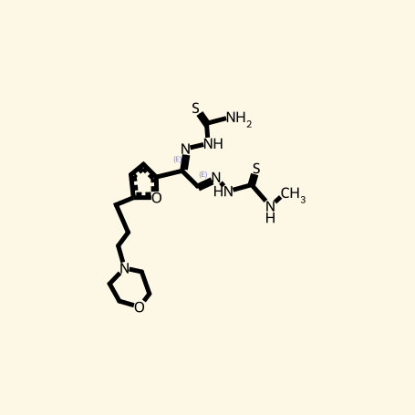 CNC(=S)N/N=C/C(=N\NC(N)=S)c1ccc(CCCN2CCOCC2)o1